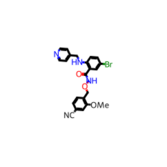 COc1cc(C#N)ccc1CONC(=O)c1cc(Br)ccc1NCc1ccncc1